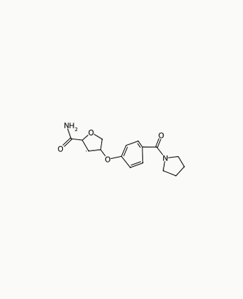 NC(=O)C1[CH]C(Oc2ccc(C(=O)N3CCCC3)cc2)CO1